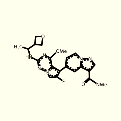 CNC(=O)c1cnn2ccc(-c3c(F)cn4nc(NC(C)C5COC5)nc(OC)c34)cc12